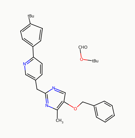 CC(C)(C)OC=O.Cc1nc(Cc2ccc(-c3ccc(C(C)(C)C)cc3)nc2)ncc1OCc1ccccc1